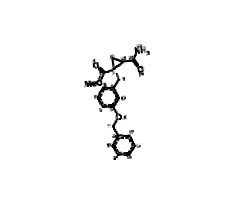 COC(=O)[C@@]1(Cc2cccc(OCc3ccccc3)c2)CC1C(N)=O